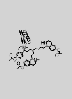 CC(=O)Oc1ccc2c(c1)CCNC2CCCCC(CCC1NCCc2cc(OC(C)=O)ccc21)CCC1NCCc2cc(OC(C)=O)ccc21.Cl.Cl.Cl.O.O.O